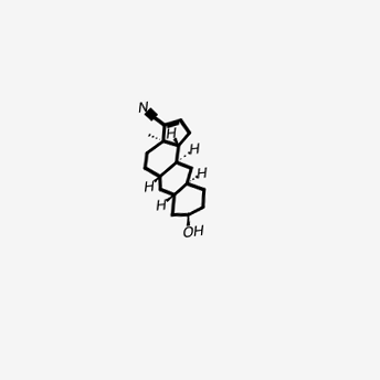 C[C@@]12CC[C@H]3C[C@H]4C[C@H](O)CC[C@@H]4C[C@@H]3[C@H]1CC=C2C#N